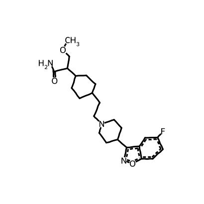 COCC(C(N)=O)C1CCC(CCN2CCC(c3noc4ccc(F)cc34)CC2)CC1